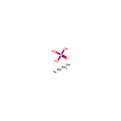 O=P(O)(O)O.[AlH3].[Fe].[LiH].[Mn]